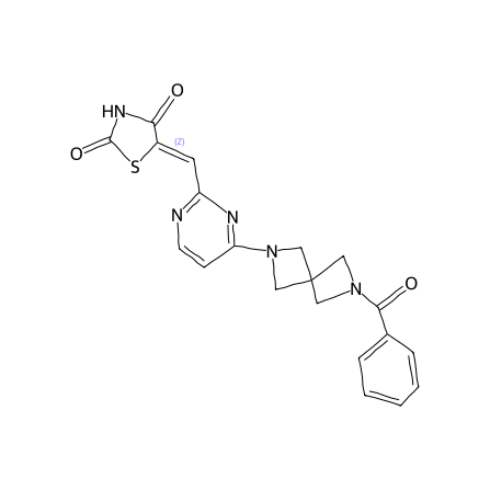 O=C1NC(=O)/C(=C/c2nccc(N3CC4(CN(C(=O)c5ccccc5)C4)C3)n2)S1